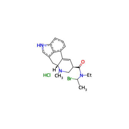 CCN(C(=O)[C@@H]1C=C2c3cccc4[nH]cc(c34)C[C@H]2N(C)C1)C(C)Br.Cl